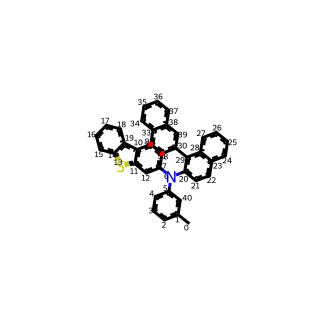 Cc1cccc(N(c2ccc3c(c2)sc2ccccc23)c2ccc3ccccc3c2-c2ccc3ccccc3c2)c1